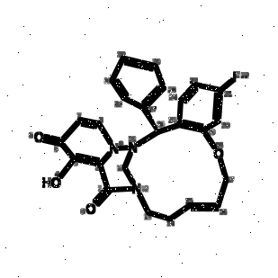 O=C1c2c(O)c(=O)ccn2N2CN1CC/C=C/COc1cc(F)ccc1[C@@H]2c1ccccc1